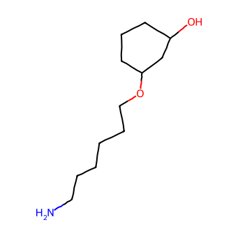 NCCCCCCOC1CCCC(O)C1